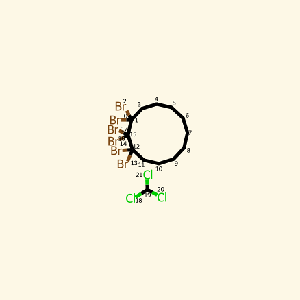 BrC1(Br)CCCCCCCCCC(Br)(Br)C1(Br)Br.ClC(Cl)Cl